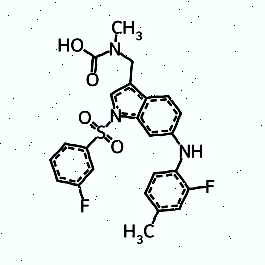 Cc1ccc(Nc2ccc3c(CN(C)C(=O)O)cn(S(=O)(=O)c4cccc(F)c4)c3c2)c(F)c1